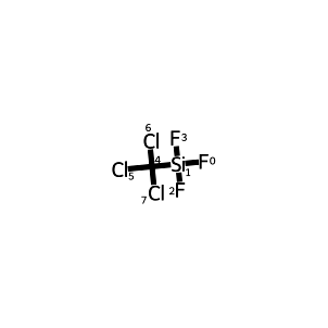 F[Si](F)(F)C(Cl)(Cl)Cl